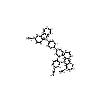 N#Cc1ccc(-c2cccc(-c3ccc(-n4c5ccccc5c5cc(C#N)ccc54)cc3)c2)c(-n2c3ccccc3c3cccc(C#N)c32)c1